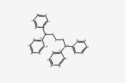 c1ccc(B(CCCC(c2ccccc2)c2ccccc2)c2ccccc2)cc1